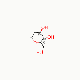 CC1C[C@@H](O)[C@@H](O)[C@@H](CO)O1